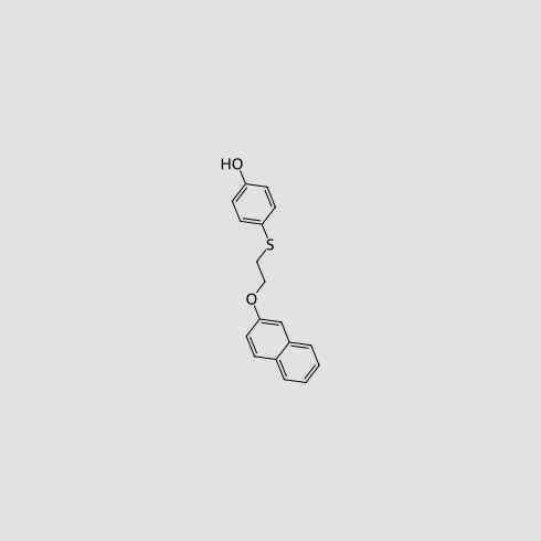 Oc1ccc(SCCOc2ccc3ccccc3c2)cc1